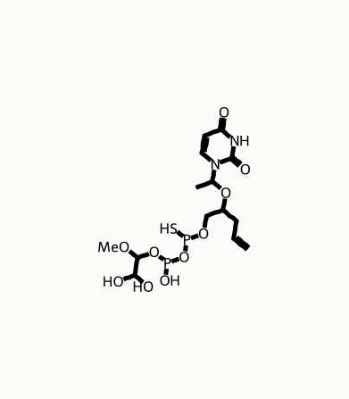 C=CCC(COP(S)OP(O)OC(OC)C(O)O)OC(C)n1ccc(=O)[nH]c1=O